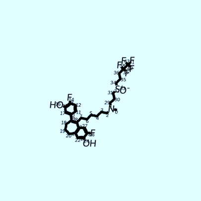 CN(CCCCCCC1=C(c2ccc(F)c(O)c2)CCCc2cc(O)c(F)cc21)CCC[S+]([O-])CCCC(F)(F)C(F)(F)F